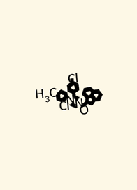 Cc1ccc(N2CCN(C(=O)C3Cc4cccc5cccc3c45)CC2c2ccc(Cl)cc2)c(Cl)c1